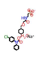 O.O=C(COC[C@H]1CC[C@H](COC(=O)N(c2ccccc2)c2ccc(Cl)cc2)CC1)NCCS(=O)(=O)[O-].[Na+]